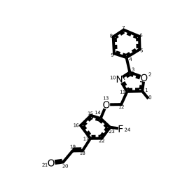 Cc1oc(-c2ccccc2)nc1COc1ccc(C=CC=O)cc1F